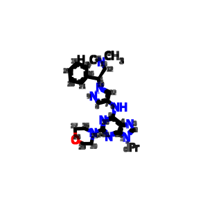 CC(C)n1cnc2c(Nc3cnn([C@H](CN(C)C)c4ccccc4)c3)nc(N3CCOCC3)nc21